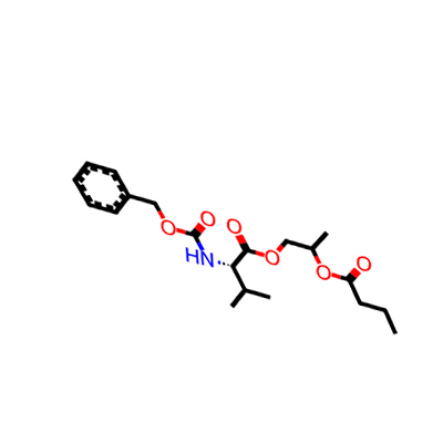 CCCC(=O)OC(C)COC(=O)[C@@H](NC(=O)OCc1ccccc1)C(C)C